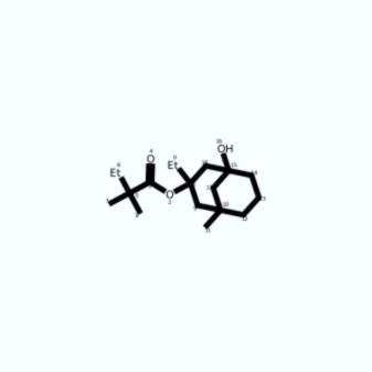 CCC1(OC(=O)C(C)(C)CC)CC2(C)CCCC(O)(C2)C1